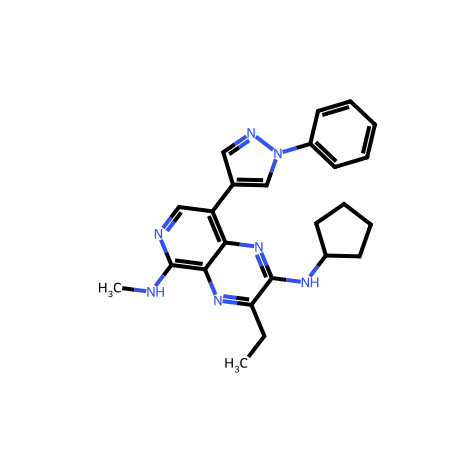 CCc1nc2c(NC)ncc(-c3cnn(-c4ccccc4)c3)c2nc1NC1CCCC1